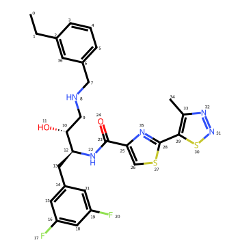 CCc1cccc(CNC[C@@H](O)[C@H](Cc2cc(F)cc(F)c2)NC(=O)c2csc(-c3snnc3C)n2)c1